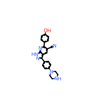 N#Cc1cc2c(-c3ccc(N4CCNCC4)cc3)n[nH]c2nc1-c1ccc(O)cc1